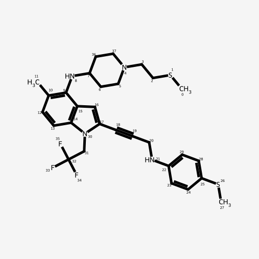 CSCCN1CCC(Nc2c(C)ccc3c2cc(C#CCNc2ccc(SC)cc2)n3CC(F)(F)F)CC1